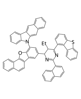 CCC1C(c2cccc3sc4ccccc4c23)=NC(c2cccc3ccccc23)=NC1c1cc(-n2c3ccccc3c3cc4ccccc4cc32)c2oc3c4ccccc4ccc3c2c1